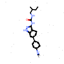 [C-]#[N+]c1ccc(-c2ccc3c(NC(=O)NCC(C)CC)n[nH]c3c2)cc1